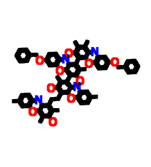 Cc1ccc2oc3c(CCc4c5nc6ccc(C)cc6oc-5c(C)c(=O)c4C)c(=O)c(C)c(-c4c5oc6cc(OCc7ccccc7)ccc6nc-5c(-c5c6oc7ccc(OCc8ccccc8)cc7nc-6c(C)c(C)c5=O)c(C)c4=O)c-3nc2c1